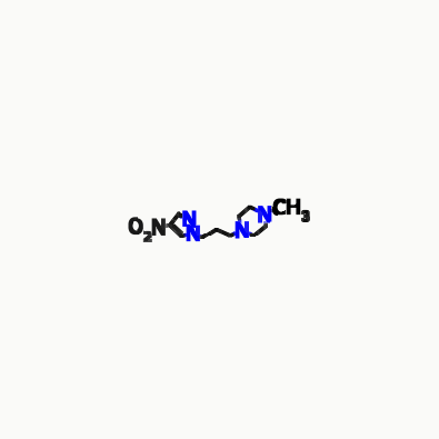 CN1CCN(CCCn2cc([N+](=O)[O-])cn2)CC1